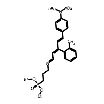 CCCCN(CCCC)c1ccc(C=C/C(=C/C=N/CCCP(=O)(OCC)OCC)c2ccccc2C)cc1